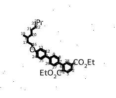 CCOC(=O)c1ccc(C(=O)OCC)c(-c2ccc(-c3ccc(OCCC(C)CCCC(C)C)cc3)cc2)c1